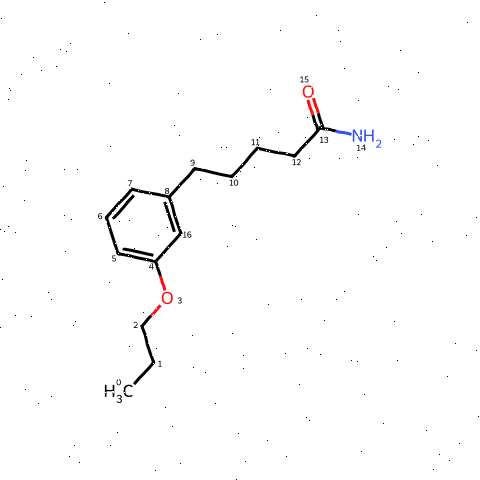 CCCOc1cccc(CCCCC(N)=O)c1